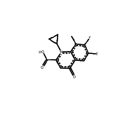 Cc1c(F)c(F)cc2c(=O)cc(C(=O)O)n(C3CC3)c12